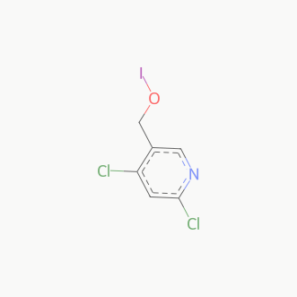 Clc1cc(Cl)c(COI)cn1